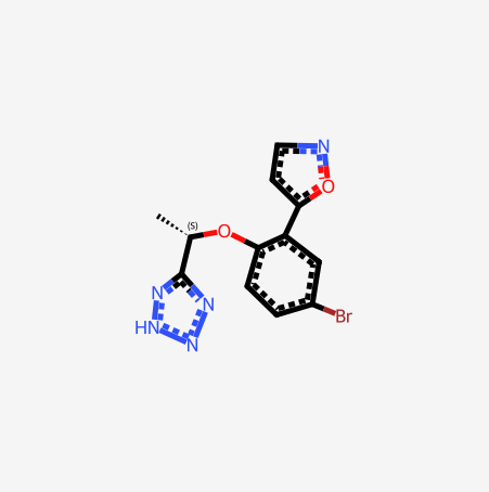 C[C@H](Oc1ccc(Br)cc1-c1ccno1)c1nn[nH]n1